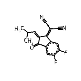 CC(C)/C=C1\C(=O)c2cc(F)c(F)cc2C1=C(C#N)C#N